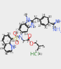 CC(C)COC(=O)CN(c1ccc2c(c1)nc(Cc1ccc(C(=N)N)cc1)n2C)S(=O)(=O)c1cccc2cccnc12.Cl